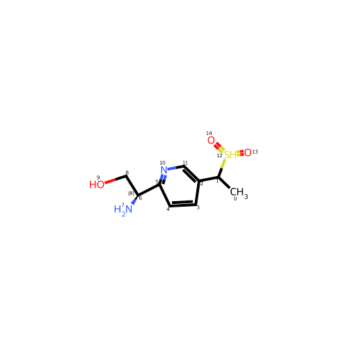 CC(c1ccc([C@@H](N)CO)nc1)[SH](=O)=O